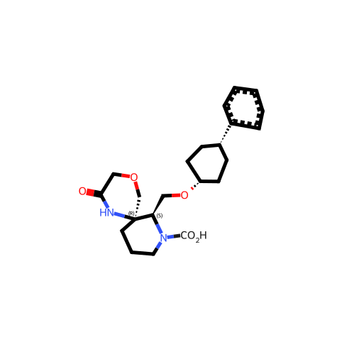 O=C1COC[C@]2(CCCN(C(=O)O)[C@@H]2CO[C@H]2CC[C@@H](c3ccccc3)CC2)N1